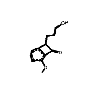 COc1cccc2c1C(=O)C2CCCO